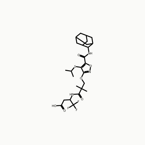 CC(C)Sc1c(OCC(C)(C)C(=O)NC(CC(=O)O)C(F)(F)F)noc1C(=O)NC1C2CC3CC(C2)CC1C3